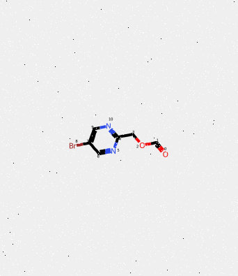 O=COCc1ncc(Br)cn1